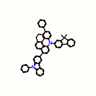 CC1(C)c2ccccc2-c2ccc(N(c3ccc(-c4ccccc4)cc3)c3ccc(-c4ccc5c(c4)c4ccccc4n5-c4ccccc4)c4ccc5c(c34)C=CCC5)cc21